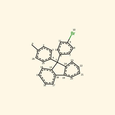 Cc1ccc(C2(c3ccc(Br)cc3)c3ccccc3-c3ccccc32)cc1